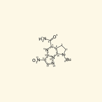 CCC(C)N1CCc2c(C(N)=O)nc3c([N+](=O)[O-])cnn3c21